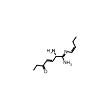 CC/C=C\N=C(/N)[C@H](N)/C=C/C(=O)CC